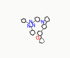 C1=Cc2oc3ccc(-c4ccc5c6ccccc6n(-c6cccc(-c7nc(-c8ccccc8)nc(-c8ccccc8)n7)c6)c5c4)cc3c2CC1